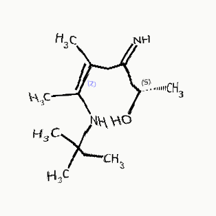 C/C(NC(C)(C)C)=C(\C)C(=N)[C@H](C)O